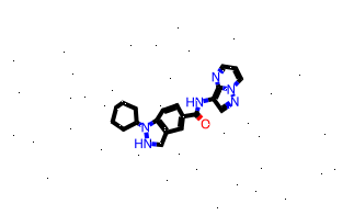 O=C(Nc1cnn2cccnc12)c1ccc2c(c1)CNN2C1CCCCC1